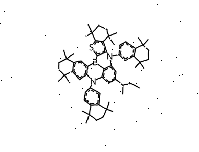 CCC(C)c1cc2c3c(c1)N(c1ccc4c(c1)C(C)(C)CCC4(C)C)c1c(sc4c1C(C)(C)CCC4(C)C)B3c1cc3c(cc1N2c1ccc2c(c1)C(C)(C)CCC2(C)C)C(C)(C)CCC3(C)C